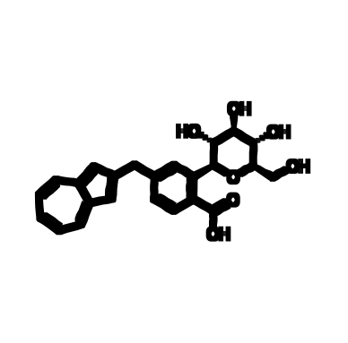 O=C(O)c1ccc(Cc2cc3cccccc-3c2)cc1[C@@H]1O[C@H](CO)[C@@H](O)[C@H](O)[C@H]1O